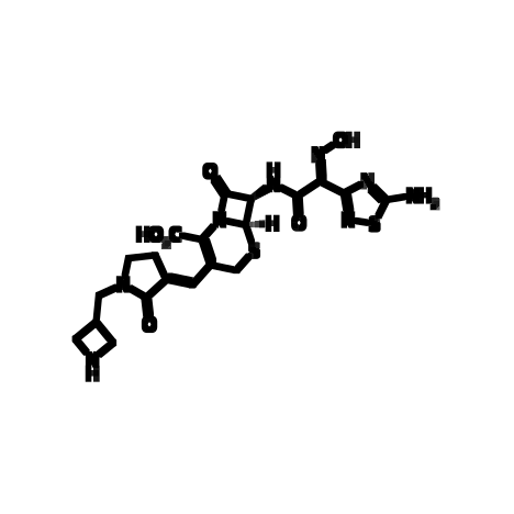 Nc1nc(C(=NO)C(=O)N[C@@H]2C(=O)N3C(C(=O)O)=C(C=C4CCN(CC5CNC5)C4=O)CS[C@H]23)ns1